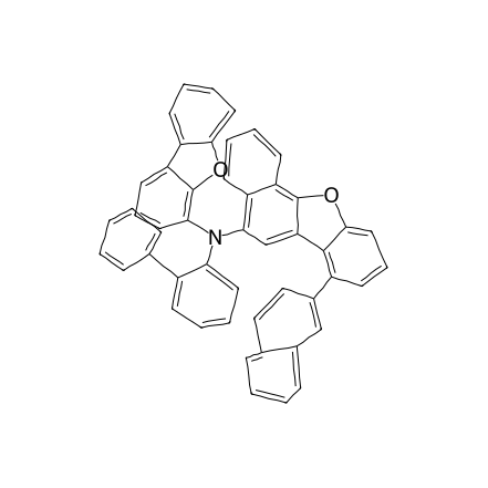 c1ccc(-c2ccccc2N(c2cc3c(oc4cccc(-c5ccc6ccccc6c5)c43)c3ccccc23)c2cccc3c2oc2ccccc23)cc1